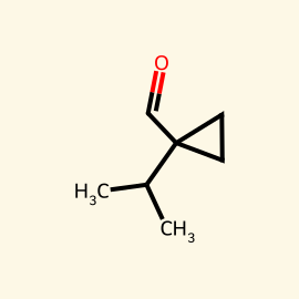 CC(C)C1(C=O)CC1